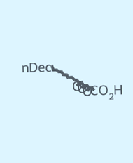 CCCCCCCCCCCCCCCCCCCCCC(=O)CC(=O)CC(=O)CC(=O)O